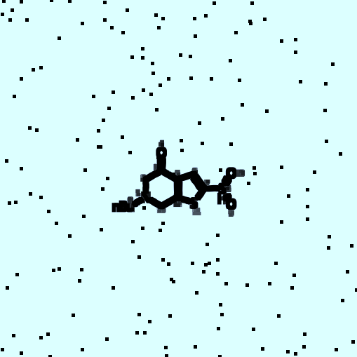 CCCCN1CC(=O)c2cc([SH](=O)=O)sc2C1